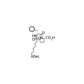 CCCCCCCCCCCCCCCCS(=O)(=O)N[C@H](Cc1ccccc1)C(=O)N1CCC[C@H]1C(=O)O